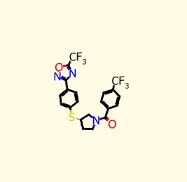 O=C(c1ccc(C(F)(F)F)cc1)N1CC[C@H](Sc2ccc(-c3noc(C(F)(F)F)n3)cc2)C1